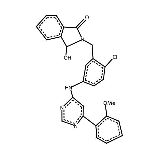 COc1ccccc1-c1cc(Nc2ccc(Cl)c(CN3C(=O)c4ccccc4C3O)c2)ncn1